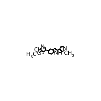 Cc1cc(-c2cc3cc(-c4cncc(OC(C)C)c4)ccc3[nH]2)ccn1